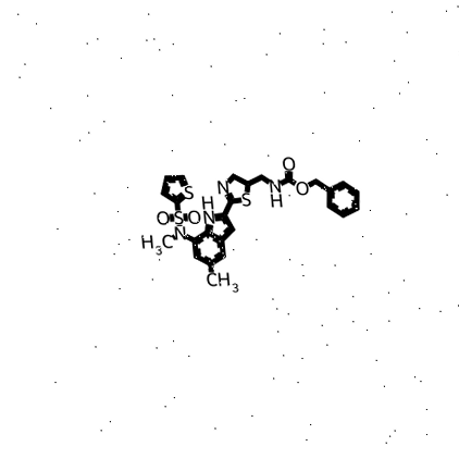 Cc1cc(N(C)S(=O)(=O)c2cccs2)c2[nH]c(C3=NCC(CNC(=O)OCc4ccccc4)S3)cc2c1